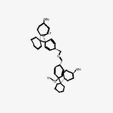 CCCC[C@H]1CC[C@H](C2([C@]3(OCC)C=C[C@H](COC[C@H]4C=C[C@@](OCC)(C5([C@H]6CC[C@H](CCCC)CC6)CCCCC5)C=C4)C=C3)CCCCC2)CC1